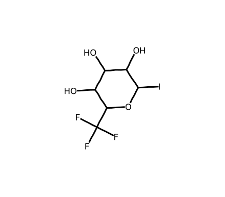 OC1C(I)OC(C(F)(F)F)C(O)C1O